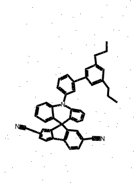 CCCc1cc(CCC)cc(-c2cccc(N3c4ccccc4C4(c5cc(C#N)ccc5-c5ccc(C#N)cc54)c4ccccc43)c2)c1